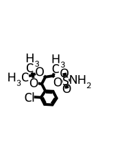 CC(OS(N)(=O)=O)C1OC(C)(C)OC1c1ccccc1Cl